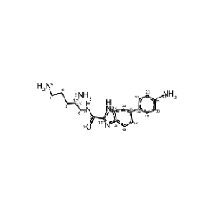 NCCC[C@H](N)CNC(=O)c1nc2ccc(-c3ccc(N)cc3)cc2[nH]1